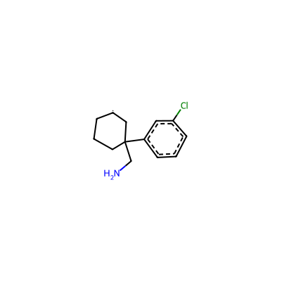 NCC1(c2cccc(Cl)c2)C[CH]CCC1